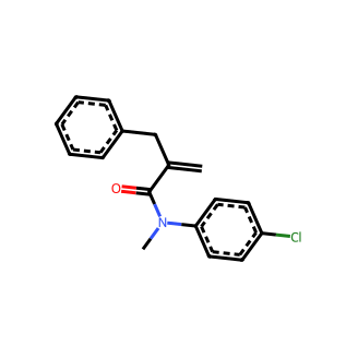 C=C(Cc1ccccc1)C(=O)N(C)c1ccc(Cl)cc1